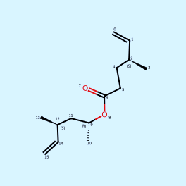 C=C[C@@H](C)CCC(=O)O[C@H](C)C[C@H](C)C=C